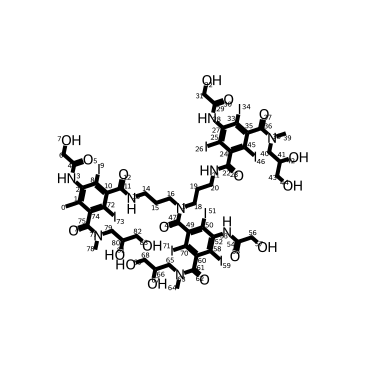 Cc1c(NC(=O)CO)c(I)c(C(=O)NCCCN(CCCNC(=O)c2c(I)c(NC(=O)CO)c(I)c(C(=O)N(C)CC(O)CO)c2I)C(=O)c2c(I)c(NC(=O)CO)c(I)c(C(=O)N(C)CC(O)CO)c2I)c(I)c1C(=O)N(C)CC(O)CO